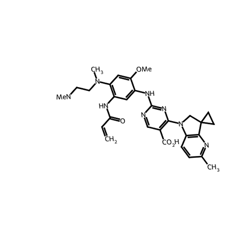 C=CC(=O)Nc1cc(Nc2ncc(C(=O)O)c(N3CC4(CC4)c4nc(C)ccc43)n2)c(OC)cc1N(C)CCNC